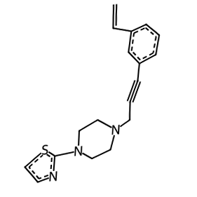 C=Cc1cccc(C#CCN2CCN(c3nccs3)CC2)c1